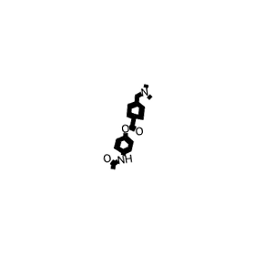 CC(=O)Nc1ccc(OC(=O)c2ccc(CN(C)C)cc2)cc1